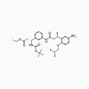 Bc1ccc(OCC(F)F)c([C@H](C)CC(=O)Nc2cccc([C@@H](CC(=O)OCC)NC(=O)OC(C)(C)C)c2)c1